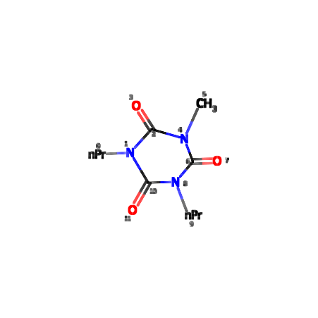 CCCn1c(=O)n(C)c(=O)n(CCC)c1=O